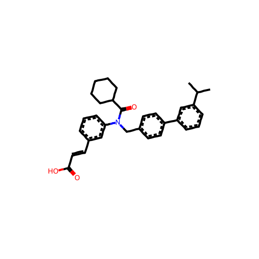 CC(C)c1cccc(-c2ccc(CN(C(=O)C3CCCCC3)c3cccc(C=CC(=O)O)c3)cc2)c1